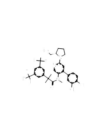 CN(C(=O)C(C)(C)c1cc(C(F)(F)F)cc(C(F)(F)F)c1)c1cnc(N2CCC[C@@H]2CO)cc1-c1ccc(Cl)c(Cl)c1